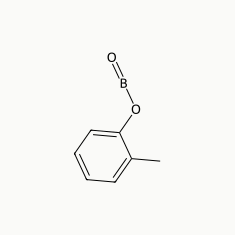 Cc1ccccc1OB=O